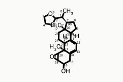 CC(C1OCCO1)[C@H]1CC[C@H]2C3=CC=C4CC(O)C5OC5[C@]4(C)[C@H]3CC[C@]12C